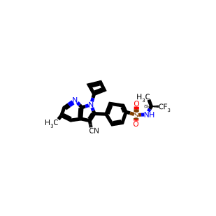 Cc1cnc2c(c1)c(C#N)c(-c1ccc(S(=O)(=O)N[C@@H](C)C(F)(F)F)cc1)n2C1=CC=C1